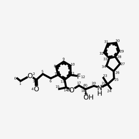 CCOC(=O)CCc1cccc(F)c1C(C)OC[C@H](O)CNC(C)(C)CC1Cc2ccccc2C1